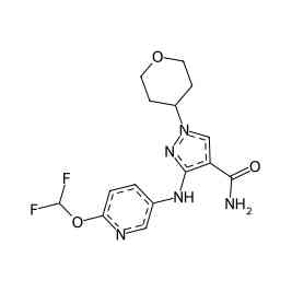 NC(=O)c1cn(C2CCOCC2)nc1Nc1ccc(OC(F)F)nc1